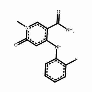 Cn1cc(C(N)=O)c(Nc2ccccc2F)cc1=O